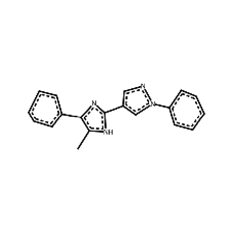 Cc1[nH]c(-c2cnn(-c3ccccc3)c2)nc1-c1ccccc1